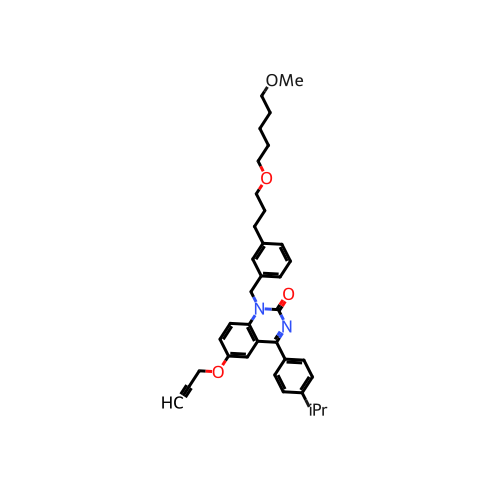 C#CCOc1ccc2c(c1)c(-c1ccc(C(C)C)cc1)nc(=O)n2Cc1cccc(CCCOCCCCCOC)c1